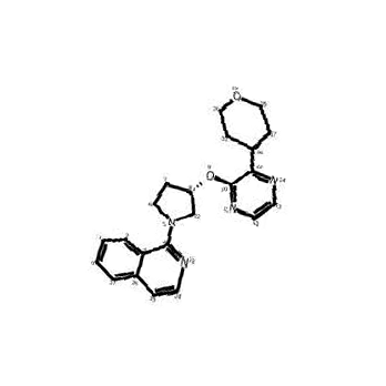 c1ccc2c(N3CC[C@H](Oc4nccnc4C4CCOCC4)C3)nccc2c1